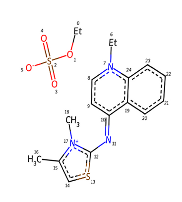 CCOS(=O)(=O)[O-].CCn1ccc(=Nc2scc(C)[n+]2C)c2ccccc21